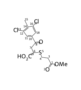 COC(=O)CCSC(CC(=O)c1cc(Cl)c(C)c(Cl)c1)C(=O)O